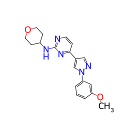 COc1cccc(-n2cc(-c3ccnc(NC4CCOCC4)n3)cn2)c1